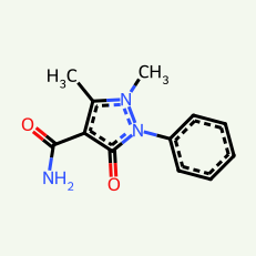 Cc1c(C(N)=O)c(=O)n(-c2ccccc2)n1C